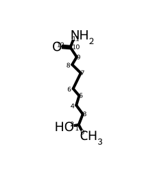 CC(O)CCCCCCCC(N)=O